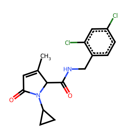 CC1=CC(=O)N(C2CC2)C1C(=O)NCc1ccc(Cl)cc1Cl